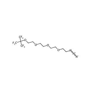 [N-]=[N+]=NCCOCCOCCOCCOC(C(F)(F)F)(C(F)(F)F)C(F)(F)F